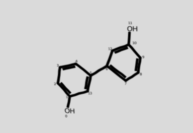 Oc1cc[c]c(-c2cccc(O)c2)c1